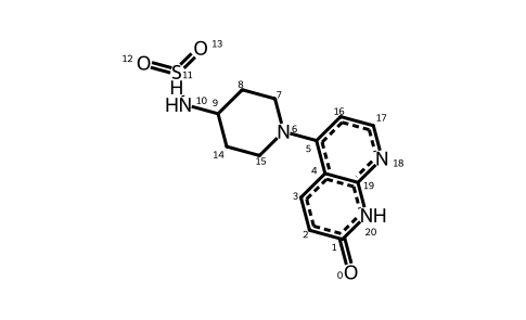 O=c1ccc2c(N3CCC(N[SH](=O)=O)CC3)ccnc2[nH]1